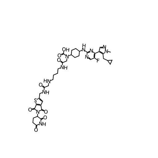 Cn1ncc(-c2nc(NC3CCC(N(CC(=O)NCCCCNCC(=O)NCc4cc5c(s4)C(=O)N(C4CCC(=O)NC4=O)C5=O)C(=O)O)CC3)ncc2F)c1CC1CC1